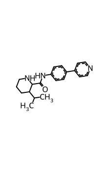 CC(C)C1CCCNC1C(=O)Nc1ccc(-c2ccncc2)cc1